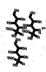 CCC(O)(C(=O)[O-])C(O)C(O)C(O)CO.CCC(O)(C(=O)[O-])C(O)C(O)C(O)CO.CCC(O)(C(=O)[O-])C(O)C(O)C(O)CO.[Y+3]